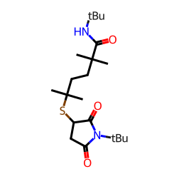 CC(C)(C)NC(=O)C(C)(C)CCC(C)(C)SC1CC(=O)N(C(C)(C)C)C1=O